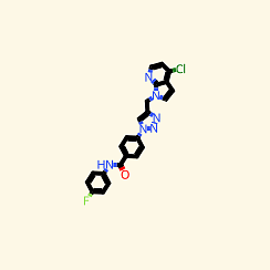 O=C(Nc1ccc(F)cc1)c1ccc(-n2cc(Cn3ccc4c(Cl)ccnc43)nn2)cc1